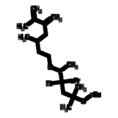 C=C(C)C(=C)CC(C)CCOP(C)C(CC)(CCC)CC(C)(C)OCCCC